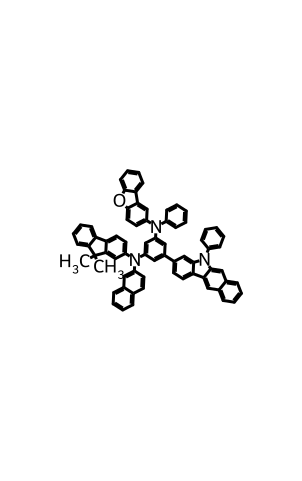 CC1(C)c2ccccc2-c2ccc(N(c3cc(-c4ccc5c6cc7ccccc7cc6n(-c6ccccc6)c5c4)cc(N(c4ccccc4)c4ccc5oc6ccccc6c5c4)c3)c3ccc4ccccc4c3)cc21